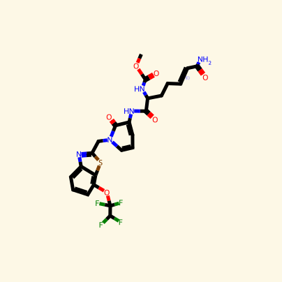 COC(=O)NC(CC/C=C/C(N)=O)C(=O)Nc1cccn(Cc2nc3cccc(OC(F)(F)C(F)F)c3s2)c1=O